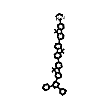 CC1(C)c2cc(-c3cc(-c4ccccc4)cc(-c4ccccc4)c3)ccc2-c2ccc(-c3ccc4c(c3)C(C)(C)c3cc(-c5ccc6c(c5)C(C)(C)c5cc(-c7ncccn7)ccc5-6)ccc3-4)cc21